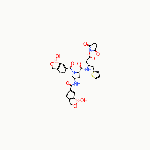 O=C(C[C@@H](Cc1cccs1)NC(=O)[C@@H]1C[C@@H](NC(=O)c2ccc3c(c2)B(O)OC3)CN1C(=O)c1ccc2c(c1)B(O)OC2)ON1C(=O)CCC1=O